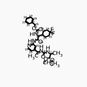 COC(OC)C(C)NC(=O)N[C@H](C)c1ccnc(NC(=O)[C@@H](NC(=O)OCc2ccccc2)C2CCC(F)(F)CC2)c1